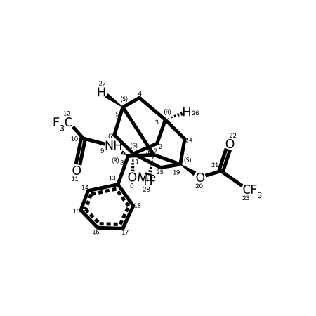 CO[C@@]12C[C@H]3C[C@@H](C1)[C@H]([C@@H](NC(=O)C(F)(F)F)c1ccccc1)[C@](OC(=O)C(F)(F)F)(C3)C2